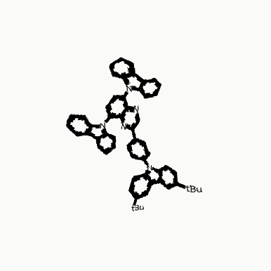 CC(C)(C)c1ccc2c(c1)c1cc(C(C)(C)C)ccc1n2-c1ccc(-c2cnc3c(-n4c5ccccc5c5ccccc54)ccc(-n4c5ccccc5c5ccccc54)c3n2)cc1